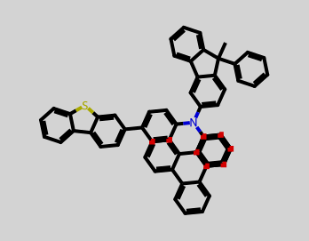 CC1(c2ccccc2)c2ccccc2-c2cc(N(c3ccc(-c4ccc5c(c4)sc4ccccc45)cc3)c3ccccc3-c3ccccc3-c3ccccc3-c3ccccc3)ccc21